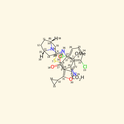 COc1cc(C(=O)O)cc2sc(N3[C@@H]4CC[C@H]3C[C@@H](OC(=O)c3c(-c5c(Cl)cccc5Cl)noc3C3CC3)C4)nc12